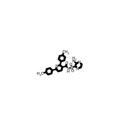 Cc1ccc(-c2ccc(C(=O)NS(=O)(=O)c3nccnc3N)c(-c3ccc(C)cc3)n2)cc1